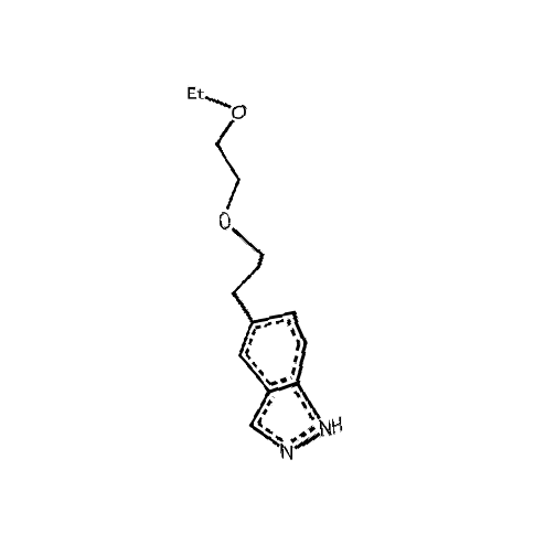 CCOCCOCCc1ccc2[nH]ncc2c1